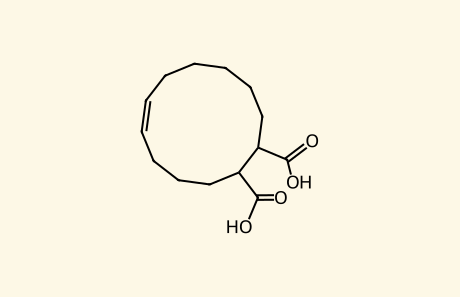 O=C(O)C1CCCC=CCCCCCC1C(=O)O